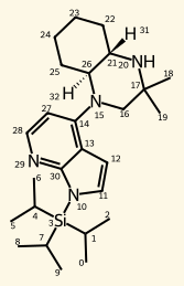 CC(C)[Si](C(C)C)(C(C)C)n1ccc2c(N3CC(C)(C)N[C@H]4CCCC[C@@H]43)ccnc21